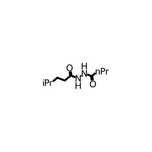 CCCC(=O)NNC(=O)CCC(C)C